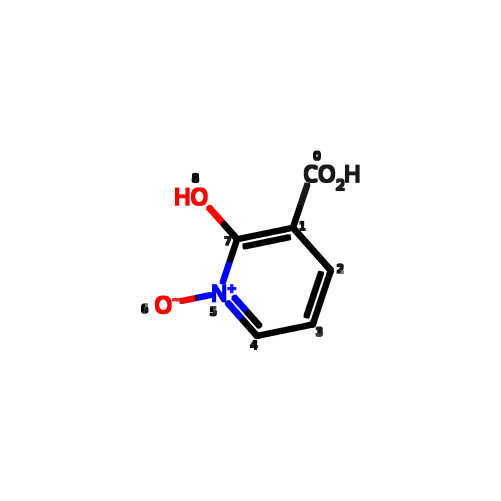 O=C(O)c1ccc[n+]([O-])c1O